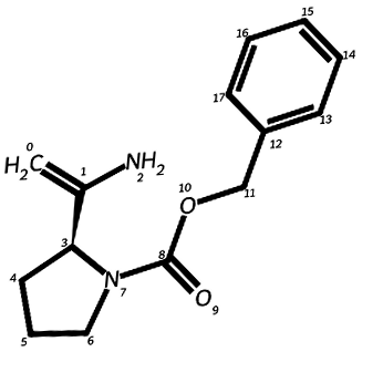 C=C(N)[C@@H]1CCCN1C(=O)OCc1ccccc1